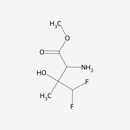 COC(=O)C(N)C(C)(O)C(F)F